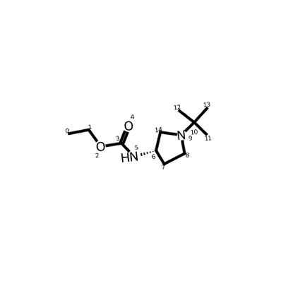 CCOC(=O)N[C@H]1CCN(C(C)(C)C)C1